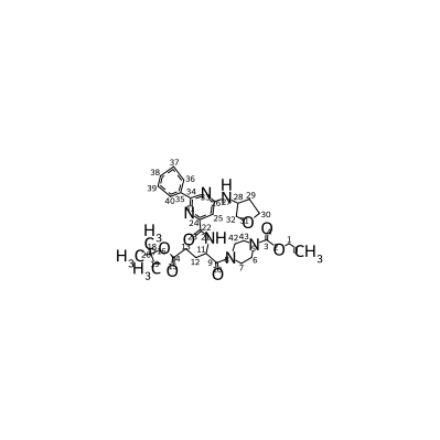 CCOC(=O)N1CCN(C(=O)C(CCC(=O)OC(C)(C)C)NC(=O)c2cc(NC3CCOC3)nc(-c3ccccc3)n2)CC1